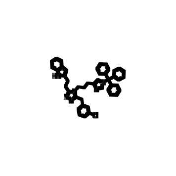 Clc1cccc(Cc2nnc(CCc3cc4ccccc4[nH]3)n2CCCc2cn(C(c3ccccc3)(c3ccccc3)c3ccccc3)cn2)c1